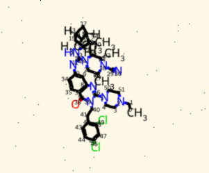 CCN1CCN(c2nc3cc(N=C(N[C@H]4C[C@H]5C[C@H]([C@H]4C)C5(C)C)N4C[C@@H](C)N(C#N)[C@@H](C)C4)ccc3c(=O)n2CCc2ccc(Cl)cc2Cl)CC1